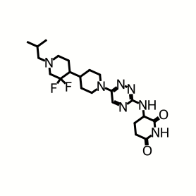 CC(C)CN1CCC(C2CCN(c3cnc(NC4CCC(=O)NC4=O)nn3)CC2)C(F)(F)C1